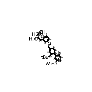 COc1cc(-c2ccc(COc3cccc(C[C@@H](C)P(C)(=O)O)c3)cc2CC(C)(C)C)c(F)cn1